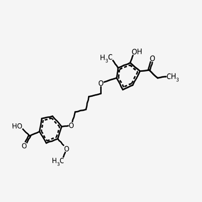 CCC(=O)c1ccc(OCCCCOc2ccc(C(=O)O)cc2OC)c(C)c1O